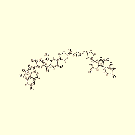 CCOc1cc(N2CCC(NCCNC[C@@H]3CCN(c4cc(F)cc5c4oc(=O)n5C4CCC(=O)NC4=O)C3)CC2)c(CC)cc1Nc1ncc(Br)c(Nc2ccc3nc(CC)ccc3c2P(C)(C)=O)n1